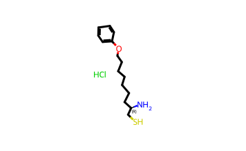 Cl.N[C@@H](CS)CCCCCCCOc1ccccc1